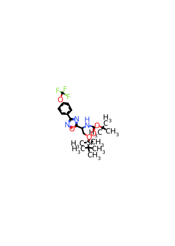 CC(C)(C)OC(=O)NC(CO[Si](C)(C)C(C)(C)C)c1nc(-c2ccc(OC(F)(F)F)cc2)no1